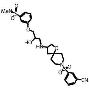 CNS(=O)(=O)c1cccc(OCC(O)CNC2COC3(CCN(S(=O)(=O)c4cccc(C#N)c4)CC3)C2)c1